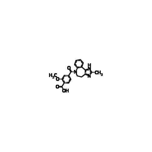 COc1cc(C(=O)N2CCc3nc(C)[nH]c3-c3ccccc32)ccc1C(=O)O